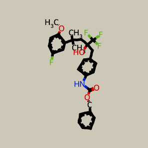 COc1ccc(F)cc1C(C)(C)CC(O)(Cc1ccc(NC(=O)OCc2ccccc2)cc1)C(F)(F)F